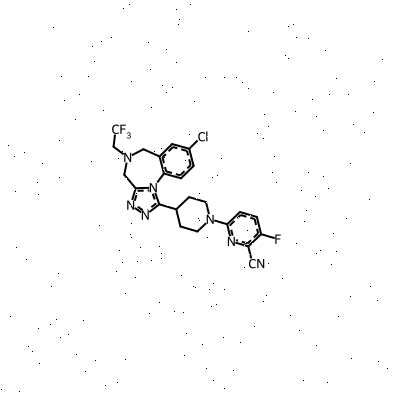 N#Cc1nc(N2CCC(c3nnc4n3-c3ccc(Cl)cc3CN(CC(F)(F)F)C4)CC2)ccc1F